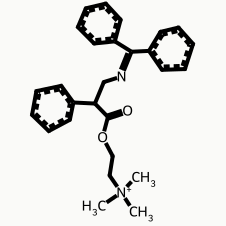 C[N+](C)(C)CCOC(=O)C(CN=C(c1ccccc1)c1ccccc1)c1ccccc1